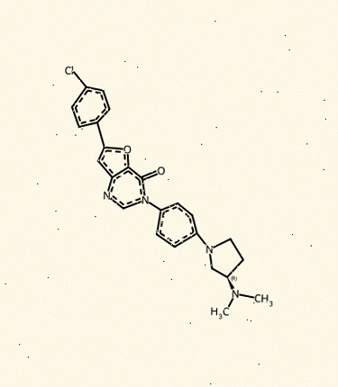 CN(C)[C@@H]1CCN(c2ccc(-n3cnc4cc(-c5ccc(Cl)cc5)oc4c3=O)cc2)C1